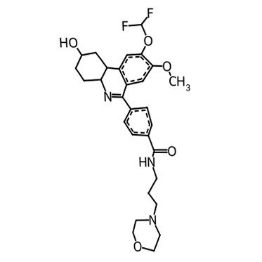 COc1cc2c(cc1OC(F)F)C1CC(O)CCC1N=C2c1ccc(C(=O)NCCCN2CCOCC2)cc1